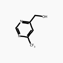 OCc1cc(C(F)(F)F)ncn1